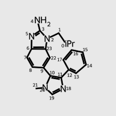 CC(C)Cn1c(N)nc2ccc(-c3c(-c4ccccc4)ncn3C)cc21